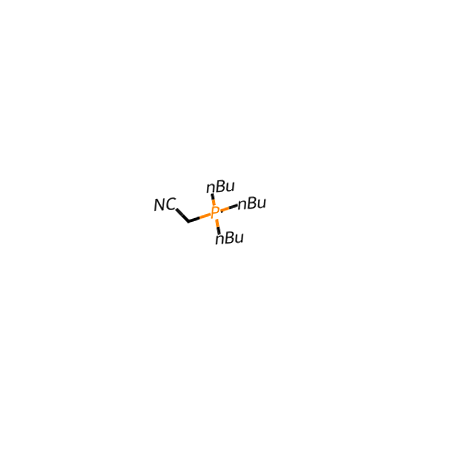 CCCC[P](CC#N)(CCCC)CCCC